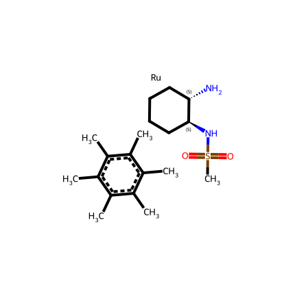 CS(=O)(=O)N[C@H]1CCCC[C@@H]1N.Cc1c(C)c(C)c(C)c(C)c1C.[Ru]